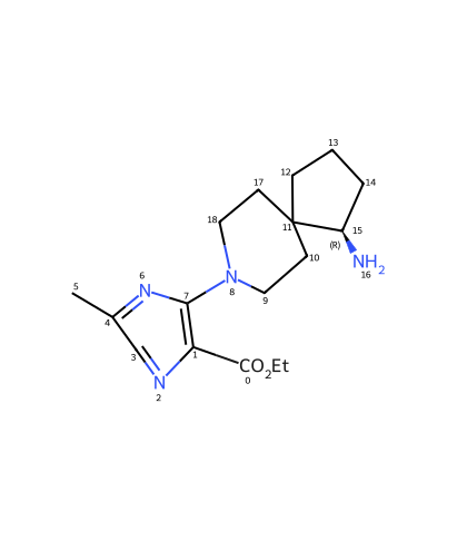 CCOC(=O)c1ncc(C)nc1N1CCC2(CCC[C@H]2N)CC1